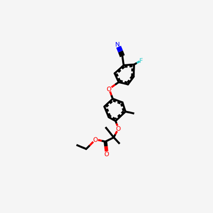 CCOC(=O)C(C)(C)Oc1ccc(Oc2ccc(F)c(C#N)c2)cc1C